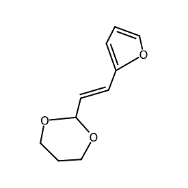 C(=CC1OCCCO1)c1ccco1